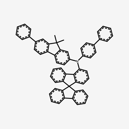 CC1(C)c2cc(-c3ccccc3)ccc2-c2ccc(N(c3ccc(-c4ccccc4)cc3)c3cccc4c3-c3ccccc3C43c4ccccc4-c4ccccc43)cc21